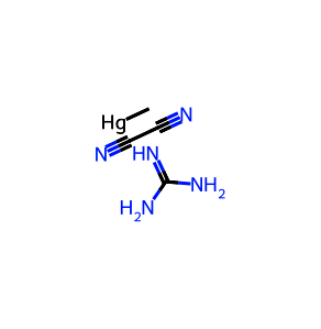 N#CC#N.N=C(N)N.[CH3][Hg]